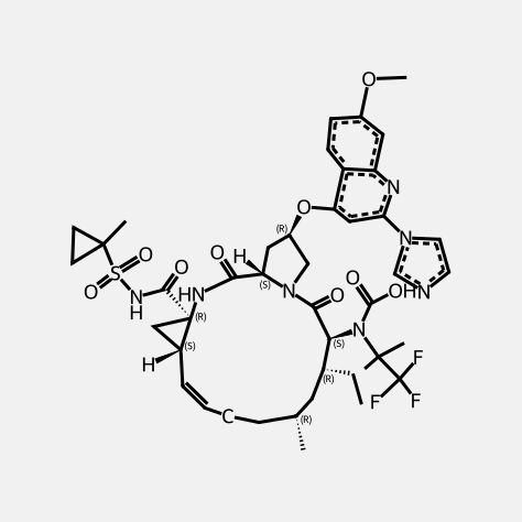 CC[C@@H]1C[C@H](C)CCC=C[C@@H]2C[C@@]2(C(=O)NS(=O)(=O)C2(C)CC2)NC(=O)[C@@H]2C[C@@H](Oc3cc(-n4ccnc4)nc4cc(OC)ccc34)CN2C(=O)[C@H]1N(C(=O)O)C(C)(C)C(F)(F)F